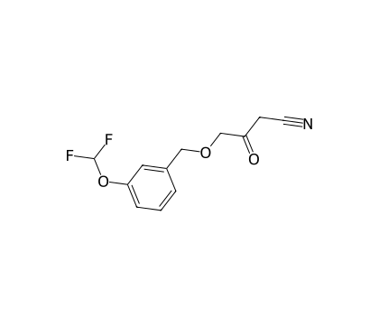 N#CCC(=O)COCc1cccc(OC(F)F)c1